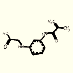 C=C(C)C(=O)Nc1cccc(NCC(=O)O)c1